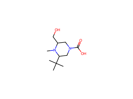 CN1C(CO)CN(C(=O)O)CC1C(C)(C)C